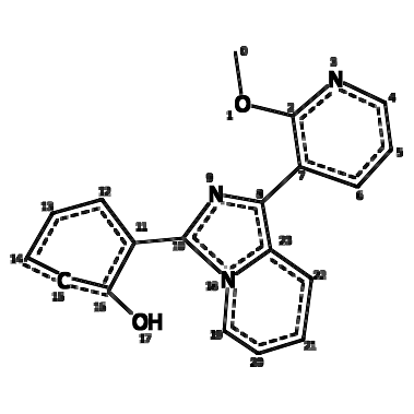 COc1ncccc1-c1nc(-c2ccccc2O)n2ccccc12